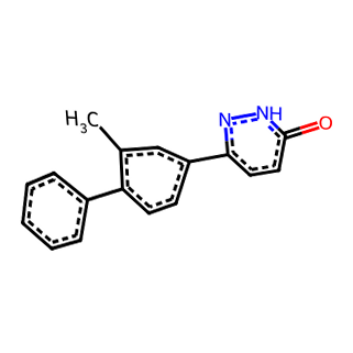 Cc1cc(-c2ccc(=O)[nH]n2)ccc1-c1ccccc1